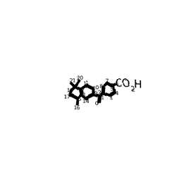 C=C(c1ccc(C(=O)O)cc1)c1ccc2c(c1)C(C)=CCC2(C)C